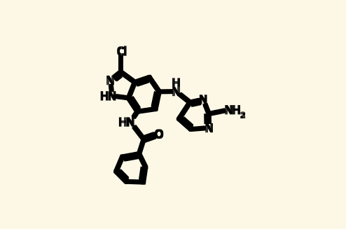 Nc1nccc(Nc2cc(NC(=O)c3ccccc3)c3[nH]nc(Cl)c3c2)n1